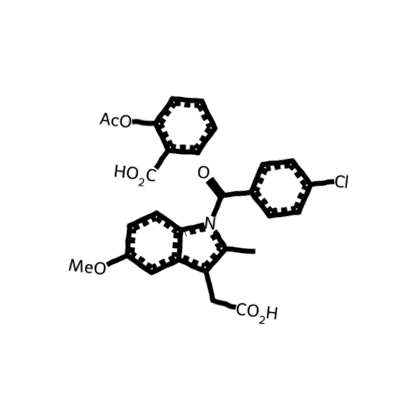 CC(=O)Oc1ccccc1C(=O)O.COc1ccc2c(c1)c(CC(=O)O)c(C)n2C(=O)c1ccc(Cl)cc1